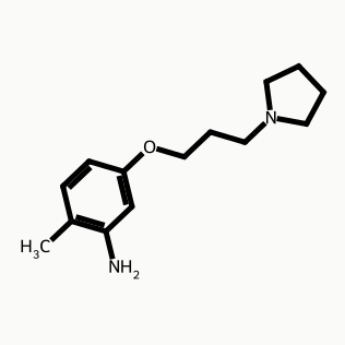 Cc1ccc(OCCCN2CCCC2)cc1N